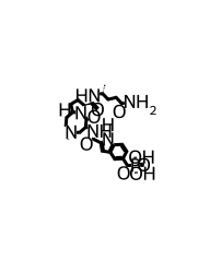 C[C@H](CCC(N)=O)NC(=O)[C@@H]1CC[C@@H]2CCN(C)C[C@H](NC(=O)c3cc4cc(C(=O)P(=O)(O)O)ccc4[nH]3)C(=O)N21